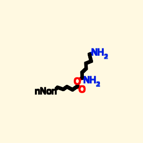 CCCCCCCCCCCCCC(=O)OC(N)CCCCCN